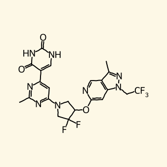 Cc1nc(-c2c[nH]c(=O)[nH]c2=O)cc(N2CC(Oc3cc4c(cn3)c(C)nn4CC(F)(F)F)C(F)(F)C2)n1